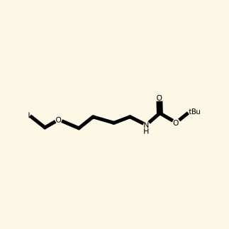 CC(C)(C)OC(=O)NCCCCOCI